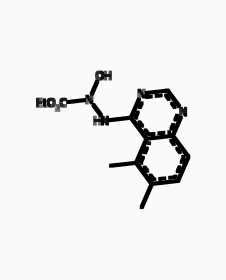 CCOC(=O)N(O)Nc1ncnc2ccc(C)c(C)c12